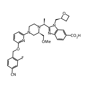 COC[C@H]1CN(c2cccc(OCc3ccc(C#N)cc3F)n2)CCN1[C@@H](C)c1nc2ccc(C(=O)O)cc2n1C[C@@H]1CCO1